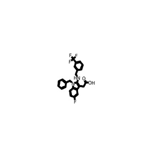 O=C(O)Cc1c(NCc2cccc(C(F)(F)F)c2)n(Cc2ccccc2)c2ccc(F)cc12